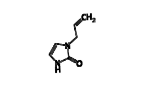 C=CCn1cc[nH]c1=O